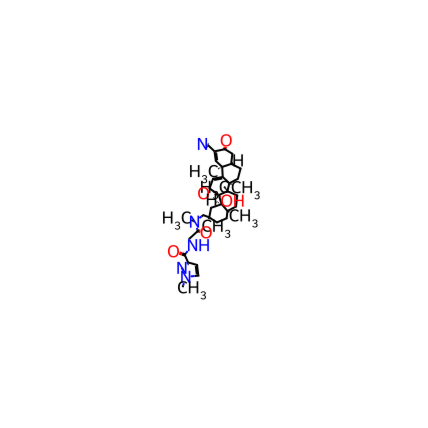 CN(C[C@@]1(C)CC[C@]2(C)CC[C@@]3(C)[C@]4(C)CC[C@H]5CC(=O)C(C#N)=C[C@]5(C)C4=CC(=O)[C@]3(O)[C@@H]2C1)C(=O)CNC(=O)c1ccn(C)n1